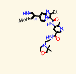 CCc1nc2cc(/C(C=N)=C/NC)ccn2c1C(=O)Nc1cc(C(=O)NCCN2CCOCC2(C)C)cnc1C